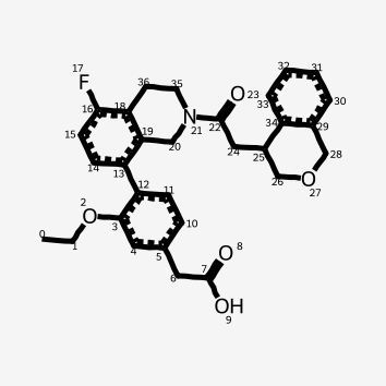 CCOc1cc(CC(=O)O)ccc1-c1ccc(F)c2c1CN(C(=O)CC1COCc3ccccc31)CC2